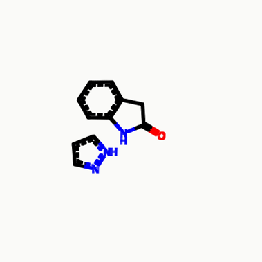 O=C1Cc2ccccc2N1.c1cn[nH]c1